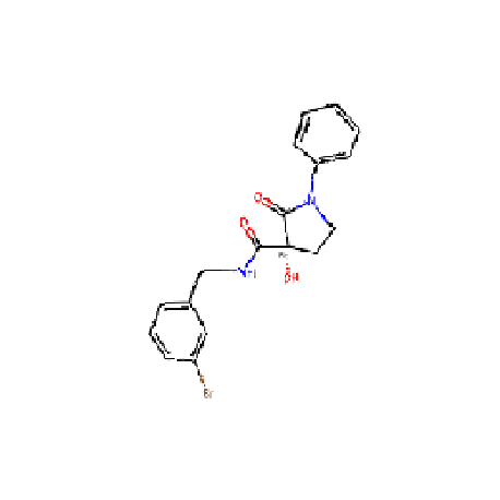 O=C(NCc1cccc(Br)c1)[C@]1(O)CCN(c2ccccc2)C1=O